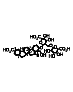 C#C[C@]1(CO)[C@@H](O[C@@H]2O[C@H](C(=O)O)[C@@H](O)[C@H](O)[C@H]2CO[C@@H]2O[C@H](C(=O)O)[C@@H](O)[C@H](O)[C@H]2O)CC[C@]2(C)[C@@]3(C)CC=C4[C@@H]5C[C@@](C)(C(=O)O)CC[C@]5(C)CC[C@@]4(C)[C@]3(C)CC[C@]21C